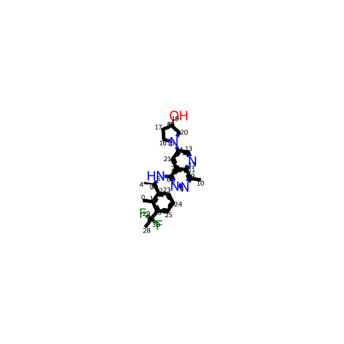 Cc1c([C@@H](C)Nc2nnc(C)c3ncc(N4CC[C@H](O)C4)cc23)cccc1C(C)(F)F